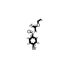 CCOC(=S)C[S+]([O-])c1ccc(Br)cc1